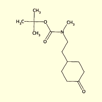 CN(CCC1CCC(=O)CC1)C(=O)OC(C)(C)C